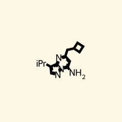 CC(C)c1cnn2c(N)cc(CC3CCC3)nc12